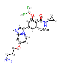 COc1cc(-c2cnc3cc(OCCCN)ccn23)cc(OC(F)F)c1C(=O)NC1CC1